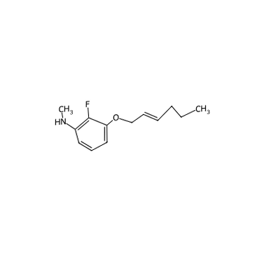 CCC/C=C/COc1cccc(NC)c1F